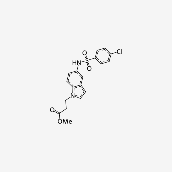 COC(=O)CCn1ccc2cc(NS(=O)(=O)c3ccc(Cl)cc3)ccc21